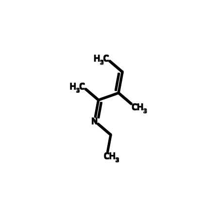 C/C=C(C)\C(C)=N/CC